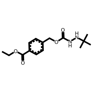 CCOC(=O)c1ccc(COC(=O)NNC(C)(C)C)cc1